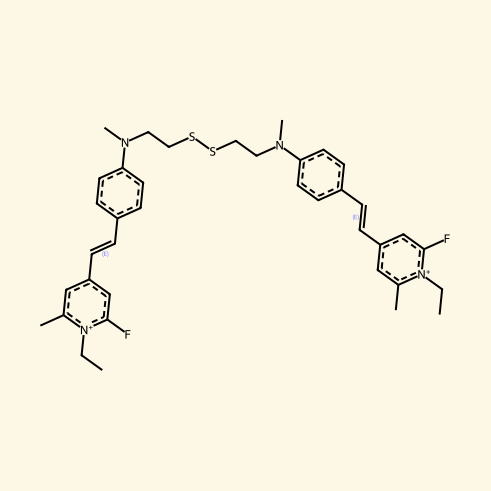 CC[n+]1c(C)cc(/C=C/c2ccc(N(C)CCSSCCN(C)c3ccc(/C=C/c4cc(C)[n+](CC)c(F)c4)cc3)cc2)cc1F